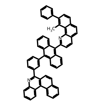 Cc1c(-c2ccccc2)ccc2ccc3ccc(-c4c5ccccc5c(-c5cccc(-c6nc7ccccc7c7c6ccc6ccccc67)c5)c5ccccc45)nc3c12